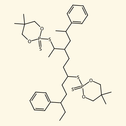 CCC(CCC(CCC(CC(C)c1ccccc1)C(C)SP1(=S)OCC(C)(C)CO1)SP1(=S)OCC(C)(C)CO1)c1ccccc1